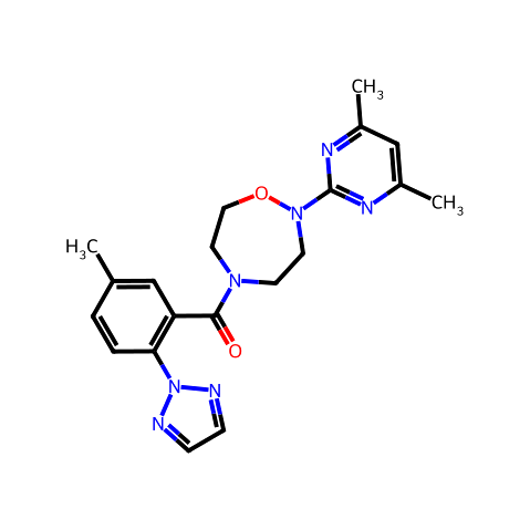 Cc1ccc(-n2nccn2)c(C(=O)N2CCON(c3nc(C)cc(C)n3)CC2)c1